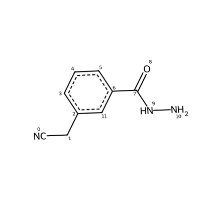 N#CCc1cccc(C(=O)NN)c1